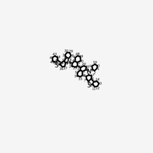 c1ccc(N(c2ccc3sc4ccccc4c3c2)c2ccc(-c3ccc(-n4c5ccccc5c5c6c(ccc54)sc4ccccc46)c4ccccc34)c3ccccc23)cc1